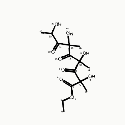 CCOC(=O)C(C)(O)C(=O)C(C)(O)C(=O)C(C)(O)C(=O)C(C)O